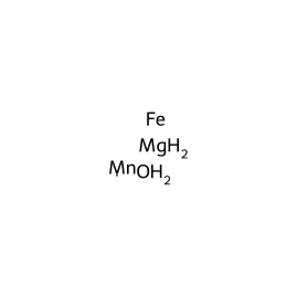 O.[Fe].[MgH2].[Mn]